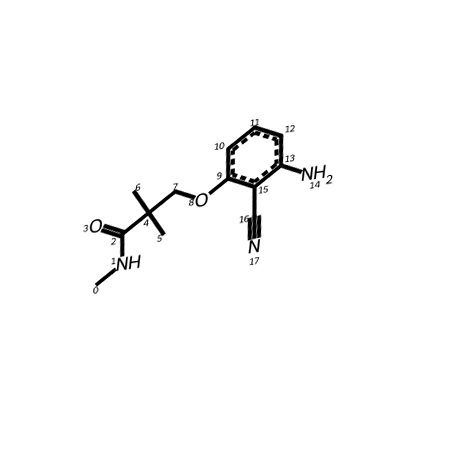 CNC(=O)C(C)(C)COc1cccc(N)c1C#N